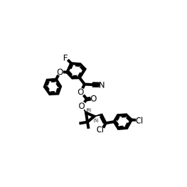 CC1(C)[C@H](C=C(Cl)c2ccc(Cl)cc2)[C@H]1OC(=O)OC(C#N)c1ccc(F)c(Oc2ccccc2)c1